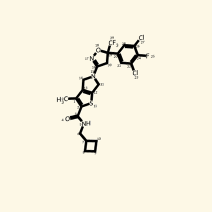 Cc1c(C(=O)NCC2CCC2)sc2c1CN(C1=NOC(c3cc(Cl)c(F)c(Cl)c3)(C(F)(F)F)C1)C2